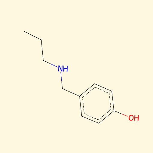 CCCNCc1ccc(O)cc1